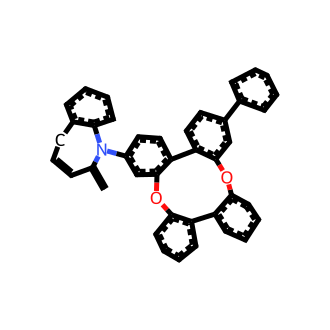 C=C1C=CCc2ccccc2N1c1ccc2c(c1)Oc1ccccc1-c1ccccc1Oc1cc(-c3ccccc3)ccc1-2